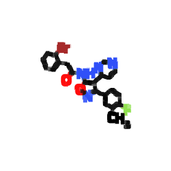 Cc1cc(-c2noc(NC(=O)Cc3ccccc3Br)c2-c2ccncn2)ccc1F